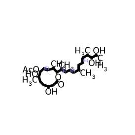 CC(=O)OC1/C=C/C(C)C(/C(C)=C/C=C/C(C)C/C=C/C(C)C(O)C(C)O)OC(=O)CC(O)CCC1(C)O